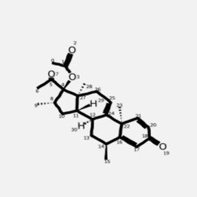 CC(=O)O[C@]1(C(C)=O)[C@@H](C)C[C@H]2[C@@H]3C[C@H](C)C4=CC(=O)C=C[C@]4(C)C3=CC[C@@]21C